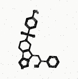 Cc1ccc(S(=O)(=O)N2CCC3=C(C2)C(CC(O)c2ccccc2)n2cncc23)cc1